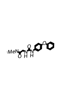 C[N]C(=O)CNC(=O)Nc1ccc(Oc2ccccc2)cc1